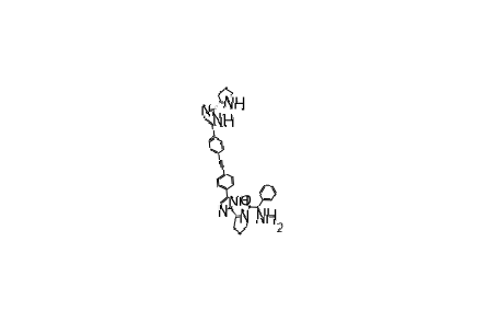 N[C@@H](C(=O)N1CCC[C@H]1c1ncc(-c2ccc(C#Cc3ccc(-c4cnc([C@@H]5CCCN5)[nH]4)cc3)cc2)[nH]1)c1ccccc1